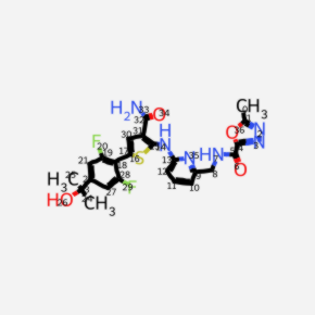 Cc1nnc(C(=O)NCc2cccc(Nc3sc(-c4c(F)cc(C(C)(C)O)cc4F)cc3C(N)=O)n2)o1